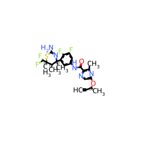 C#C[C@H](C)Oc1cnc(C(=O)Nc2cc(F)c(F)c([C@@]3(C)N=C(N)S[C@](C)(C(F)F)[C@H]3C)c2)c(C)n1